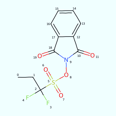 CCC(F)(F)S(=O)(=O)ON1C(=O)c2ccccc2C1=O